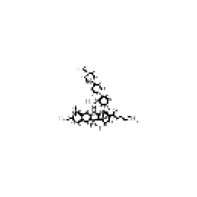 CCCCC(=O)/C1=C(Nc2ccc(N3CCC(N4CCN(C)CC4)CC3)c(C)c2)/N=C(NC2CCC3=CCC(C)NC=C3C2)\C(CC)=C(/C)CC1